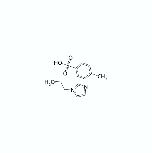 C=CCn1ccnc1.Cc1ccc(S(=O)(=O)O)cc1